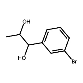 CC(O)C(O)c1cccc(Br)c1